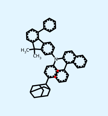 CC1(C)c2cc(N(c3ccc(C4C5CC6CC(C5)CC4C6)cc3)c3ccc4ccccc4c3-c3ccccc3)ccc2-c2c(-c3ccccc3)cccc21